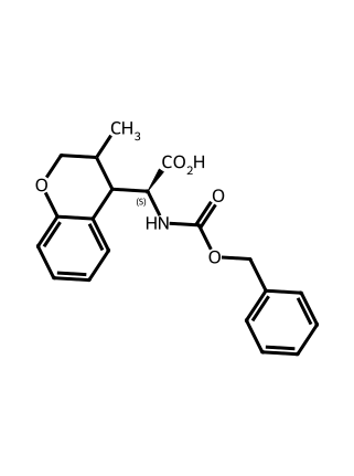 CC1COc2ccccc2C1[C@H](NC(=O)OCc1ccccc1)C(=O)O